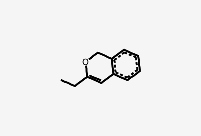 CCC1=Cc2ccccc2CO1